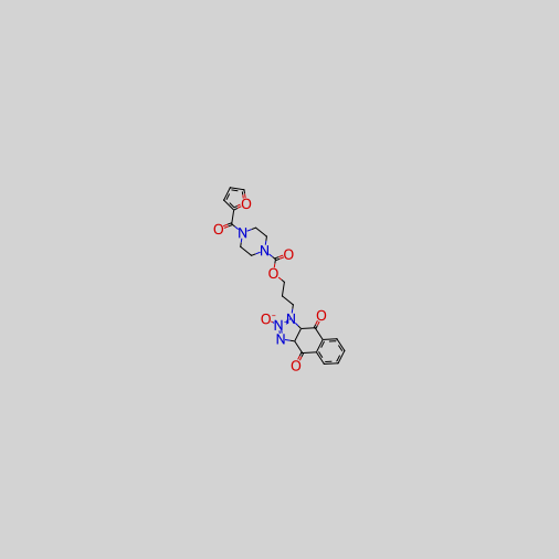 O=C1c2ccccc2C(=O)C2C1N=[N+]([O-])N2CCCOC(=O)N1CCN(C(=O)c2ccco2)CC1